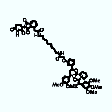 CC[C@H](C(=O)N1CCCC[C@H]1C(=O)OC(CCc1ccc(OC)c(OC)c1)c1cccc(OCC(=O)NCCCCCCCCNC(=O)Cc2cccc3c2C(=O)N(C2CCC(=O)NC2=O)C3=O)c1)c1cc(OC)c(OC)c(OC)c1